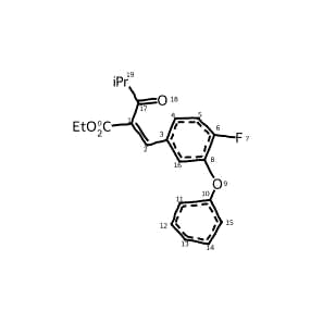 CCOC(=O)C(=Cc1ccc(F)c(Oc2ccccc2)c1)C(=O)C(C)C